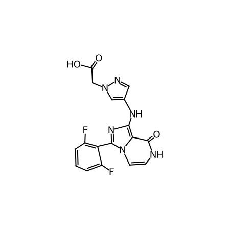 O=C(O)Cn1cc(Nc2nc(-c3c(F)cccc3F)n3cc[nH]c(=O)c23)cn1